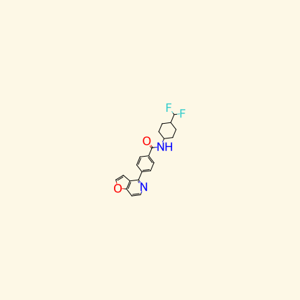 O=C(NC1CCC(C(F)F)CC1)c1ccc(-c2nccc3occc23)cc1